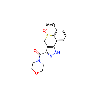 COc1cccc2c1[S+]([O-])Cc1c(C(=O)N3CCOCC3)n[nH]c1-2